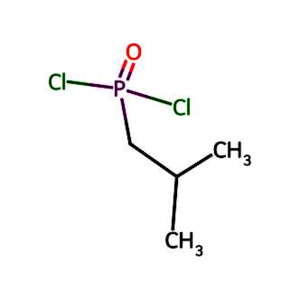 CC(C)CP(=O)(Cl)Cl